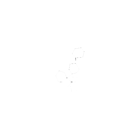 CCCOC(=O)C1([C@]2(CCC)CC[C@H](C3CCCCC3)CC2)CCCCC1